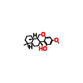 COc1cc(O)c2c(c1)OC[C@@H]1[C@@]3(C)CCCC(C)(C)[C@@H]3CC[C@@]21C